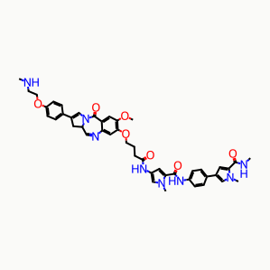 CNCCOc1ccc(C2=CN3C(=O)c4cc(OC)c(OCCCC(=O)Nc5cc(C(=O)Nc6ccc(-c7cc(C(=O)NC)n(C)c7)cc6)n(C)c5)cc4N=CC3C2)cc1